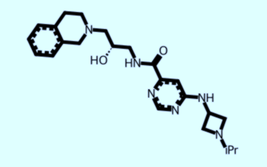 CC(C)N1CC(Nc2cc(C(=O)NC[C@H](O)CN3CCc4ccccc4C3)ncn2)C1